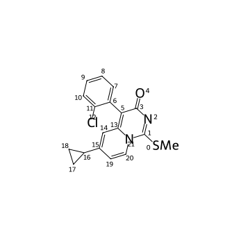 CSc1nc(=O)c(-c2ccccc2Cl)c2cc(C3CC3)ccn12